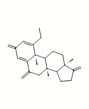 C=C1C[C@@H]2[C@H](CC[C@]3(C)C(=O)CC[C@@H]23)[C@@]2(C)C(CC)=CC(=O)C=C12